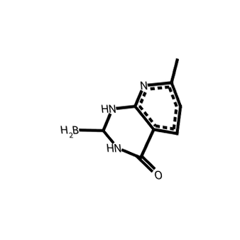 BC1NC(=O)c2ccc(C)nc2N1